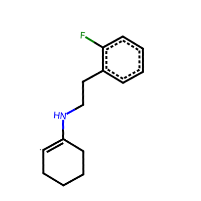 Fc1ccccc1CCNC1=[C]CCCC1